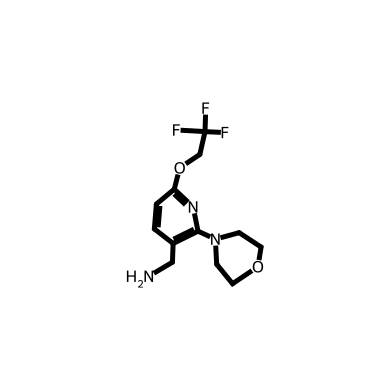 NCc1ccc(OCC(F)(F)F)nc1N1CCOCC1